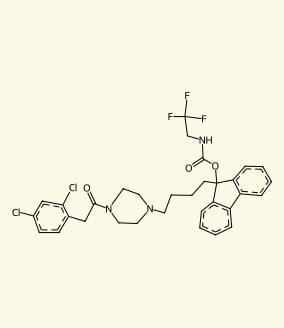 O=C(NCC(F)(F)F)OC1(CCCCN2CCN(C(=O)Cc3ccc(Cl)cc3Cl)CC2)c2ccccc2-c2ccccc21